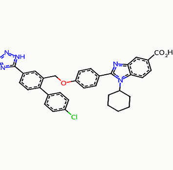 O=C(O)c1ccc2c(c1)nc(-c1ccc(OCc3cc(-c4nnn[nH]4)ccc3-c3ccc(Cl)cc3)cc1)n2C1CCCCC1